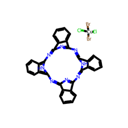 [Cl][Cu]([Cl])([Br])[Br].c1ccc2c(c1)-c1nc-2nc2[nH]c(nc3nc(nc4[nH]c(n1)c1ccccc41)-c1ccccc1-3)c1ccccc21